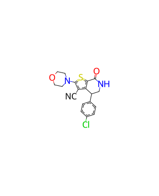 N#Cc1c(N2CCOCC2)sc2c1C(c1ccc(Cl)cc1)CNC2=O